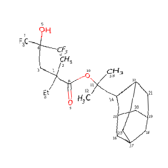 CCC(C)(CC(O)(C(F)(F)F)C(F)(F)F)C(=O)OC(C)(C)C1C2CC3CC(C2)CC1C3